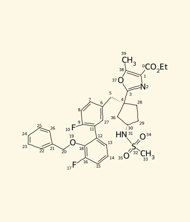 CCOC(=O)c1nc([C@@]2(Cc3ccc(F)c(-c4cccc(F)c4OCc4ccccc4)c3)CC[C@H](NS(C)(=O)=O)C2)oc1C